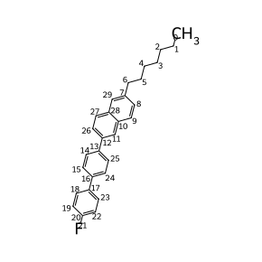 CCCCCCCc1ccc2cc(-c3ccc(-c4ccc(F)cc4)cc3)ccc2c1